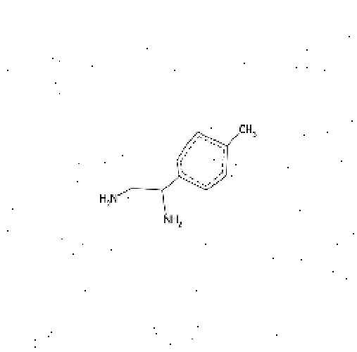 Cc1ccc(C(N)CN)cc1